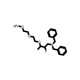 CCCOCCOCCOC(C)C(F)CN(Cc1ccccc1)Cc1ccccc1